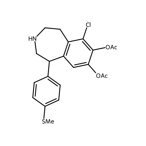 CSc1ccc(C2CNCCc3c2cc(OC(C)=O)c(OC(C)=O)c3Cl)cc1